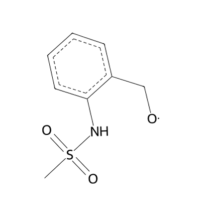 CS(=O)(=O)Nc1ccccc1C[O]